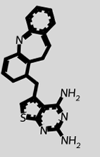 Nc1nc(N)c2c(CC3CC=CC4=C3CC=c3ccccc3=N4)csc2n1